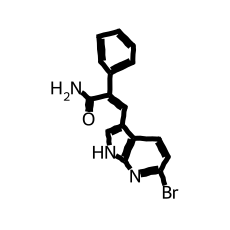 NC(=O)C(=Cc1c[nH]c2nc(Br)ccc12)c1ccccc1